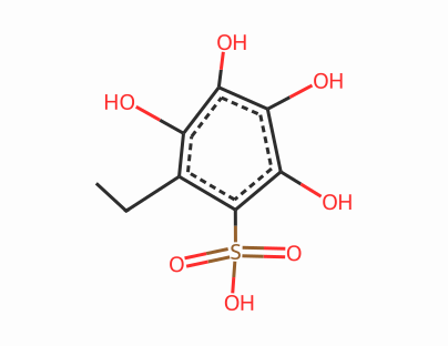 CCc1c(O)c(O)c(O)c(O)c1S(=O)(=O)O